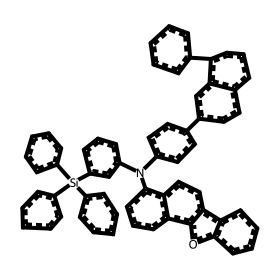 c1ccc(-c2cccc3ccc(-c4ccc(N(c5cccc([Si](c6ccccc6)(c6ccccc6)c6ccccc6)c5)c5cccc6c5ccc5c7ccccc7oc65)cc4)cc23)cc1